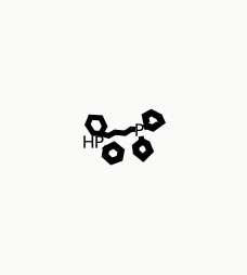 c1ccc(PC2(CCCCP(c3ccccc3)c3ccccc3)CCCCC2)cc1